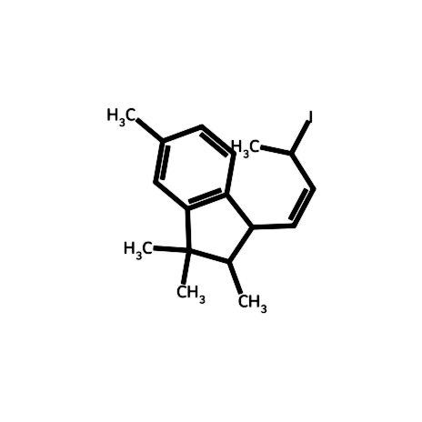 Cc1ccc2c(c1)C(C)(C)C(C)C2/C=C\C(C)I